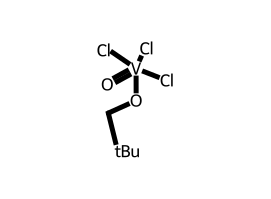 CC(C)(C)C[O][V](=[O])([Cl])([Cl])[Cl]